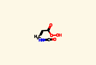 C=CC(=O)OO.N=C=O